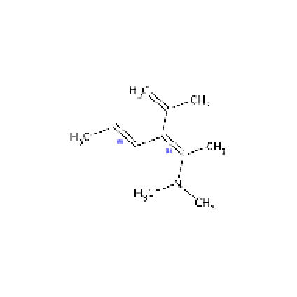 C=C(C)C(/C=C/C)=C(\C)N(C)C